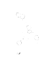 CC(C)(Cc1c(SC(C)(C)C)c2cc(OCc3ccc4ccccc4n3)ccc2n1Cc1ccc(Cl)cc1)OC(=O)c1cccc(CO[N+](=O)[O-])c1